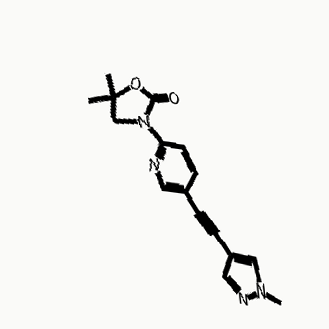 Cn1cc(C#Cc2ccc(N3CC(C)(C)OC3=O)nc2)cn1